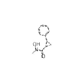 CN(O)C(=O)C1CC1c1ccccc1